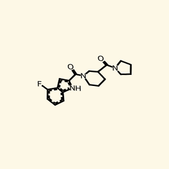 O=C(c1cc2c(F)cccc2[nH]1)N1CCCC(C(=O)N2CCCC2)C1